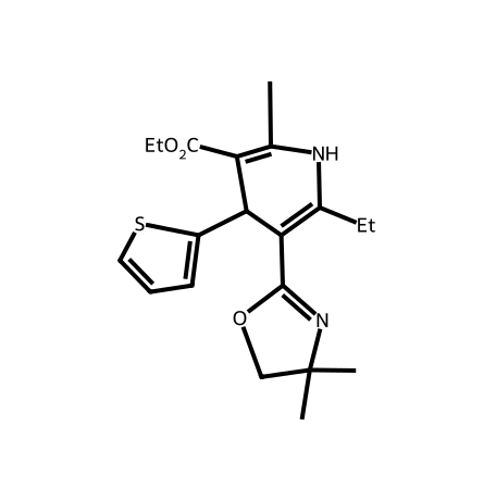 CCOC(=O)C1=C(C)NC(CC)=C(C2=NC(C)(C)CO2)C1c1cccs1